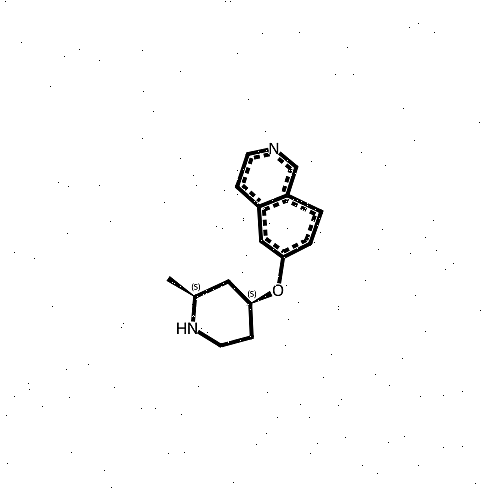 C[C@H]1C[C@@H](Oc2ccc3cnccc3c2)CCN1